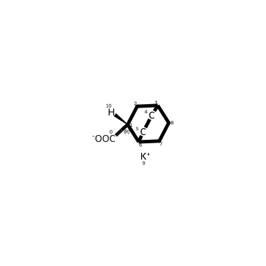 O=C([O-])[C@@H]1CC2CCC1CC2.[K+]